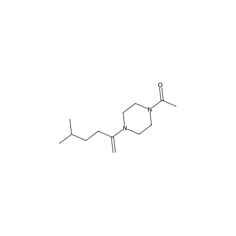 C=C(CCC(C)C)N1CCN(C(C)=O)CC1